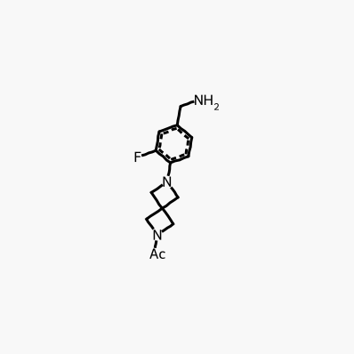 CC(=O)N1CC2(C1)CN(c1ccc(CN)cc1F)C2